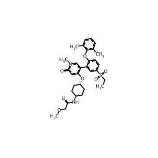 CCS(=O)(=O)c1ccc(Oc2c(C)cccc2C)c(-c2cn(C)c(=O)cc2O[C@H]2CC[C@H](NC(=O)COC)CC2)c1